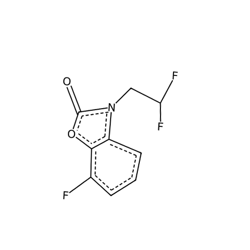 O=c1oc2c(F)cccc2n1CC(F)F